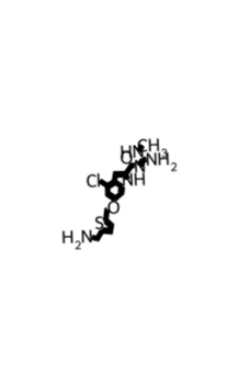 CNC(N)=NC(=O)c1cc2c(Cl)cc(OCc3ccc(CN)s3)cc2[nH]1